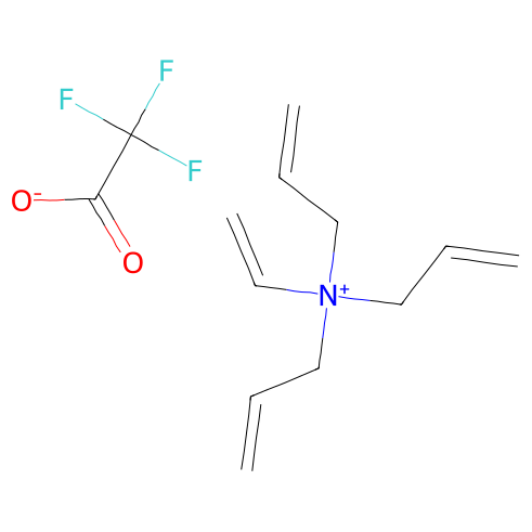 C=CC[N+](C=C)(CC=C)CC=C.O=C([O-])C(F)(F)F